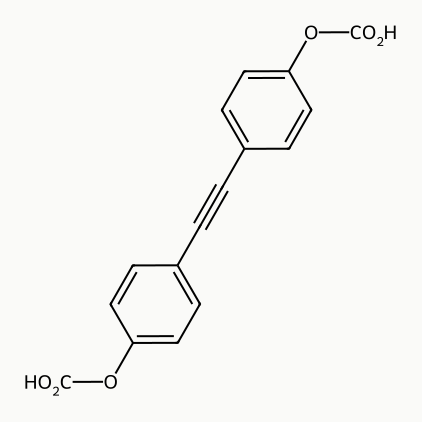 O=C(O)Oc1ccc(C#Cc2ccc(OC(=O)O)cc2)cc1